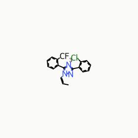 C/C=C\n1nc(-c2ccccc2Cl)nc1-c1ccccc1C(F)(F)F